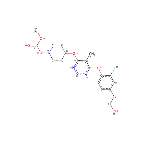 Cc1c(Oc2ccc(CCO)cc2F)ncnc1OC1CCN(OC(=O)OC(C)C)CC1